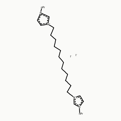 CCCn1cc[n+](CCCCCCCCCCCC[n+]2ccn(CCC)c2)c1.[I-].[I-]